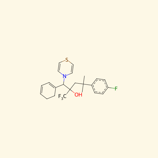 CC(C)(CC(O)(C(C1=CC=CCC1)N1C=CSC=C1)C(F)(F)F)c1ccc(F)cc1